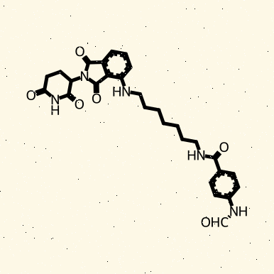 O=CNc1ccc(C(=O)NCCCCCCCNc2cccc3c2C(=O)N(C2CCC(=O)NC2=O)C3=O)cc1